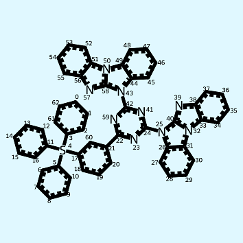 c1ccc(S(c2ccccc2)(c2ccccc2)c2cccc(-c3nc(-n4c5ccccc5n5c6ccccc6nc45)nc(-n4c5ccccc5n5c6ccccc6nc45)n3)c2)cc1